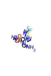 CC1(NS(=O)(=O)c2cc(N3CCC[C@@H](N)C3)c3c(c2)n(-c2nnc(C(F)F)s2)c2nccn32)CC1